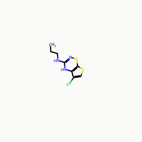 CCCNC1=NSc2scc(Cl)c2N1